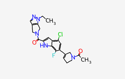 CCn1ncc2c1CN(C(=O)c1cc3c(Cl)cc(C4=CCCN(C(C)=O)C4)c(F)c3[nH]1)C2